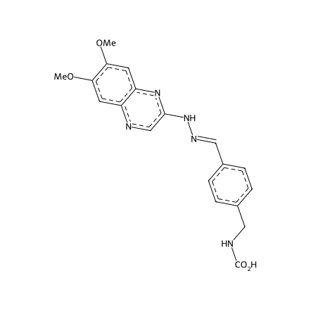 COc1cc2ncc(NN=Cc3ccc(CNC(=O)O)cc3)nc2cc1OC